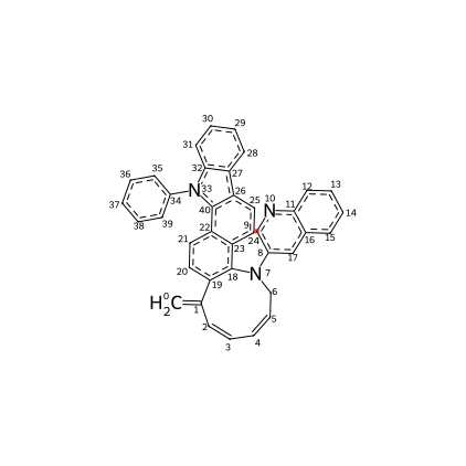 C=C1/C=C\C=C/CN(c2cnc3ccccc3c2)c2c1ccc1c2ccc2c3ccccc3n(-c3ccccc3)c12